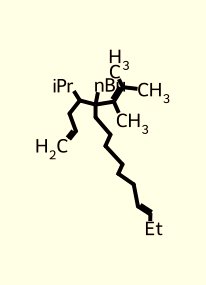 C=CCC(C(C)C)C(CCCC)(CCCCCCC=CCC)C(C)=C(C)C